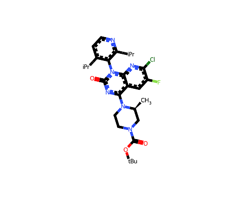 CC(C)c1ccnc(C(C)C)c1-n1c(=O)nc(N2CCN(C(=O)OC(C)(C)C)C[C@@H]2C)c2cc(F)c(Cl)nc21